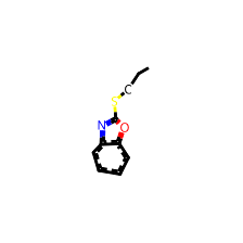 CCCSc1nc2ccccc2o1